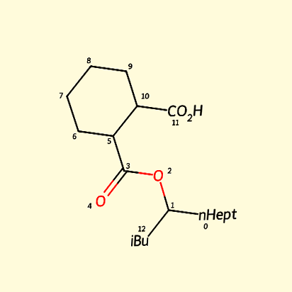 CCCCCCCC(OC(=O)C1CCCCC1C(=O)O)C(C)CC